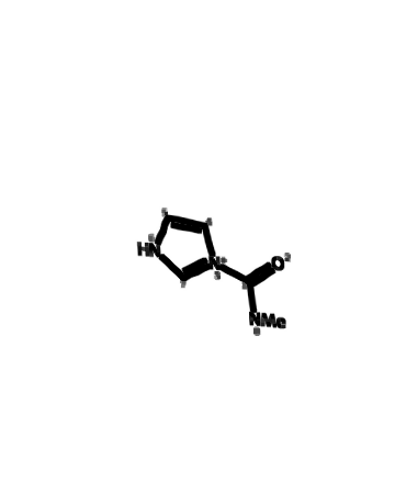 CNC(=O)[n+]1cc[nH]c1